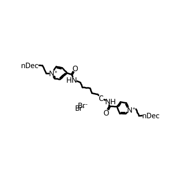 CCCCCCCCCCCC[n+]1ccc(C(=O)NCCCCCCNC(=O)c2cc[n+](CCCCCCCCCCCC)cc2)cc1.[Br-].[Br-]